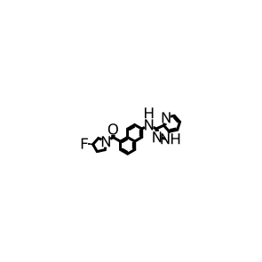 O=C(c1cccc2cc(Nc3n[nH]c4cccnc34)ccc12)N1CC[C@@H](F)C1